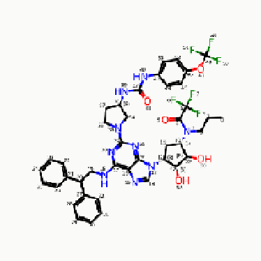 CCCN(C(=O)C(F)(F)F)[C@H]1C[C@@H](n2cnc3c(NCC(c4ccccc4)c4ccccc4)nc(N4CC[C@@H](NC(=O)Nc5ccc(OC(F)(F)F)cc5)C4)nc32)[C@H](O)[C@@H]1O